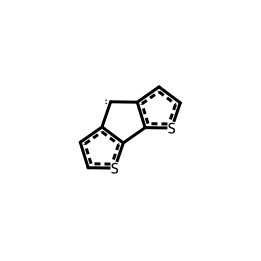 [C]1c2ccsc2-c2sccc21